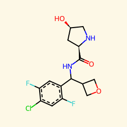 O=C(NC(c1cc(F)c(Cl)cc1F)C1COC1)[C@H]1C[C@@H](O)CN1